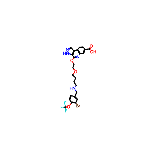 O=C(O)c1ccc2c(c1)nc(OCCOCCCCNCc1ccc(OC(F)(F)F)c(Br)c1)c1[nH]ncc12